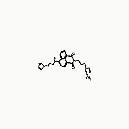 C[n+]1ccn(CCCN2C(=O)c3cccc4c(NCCCn5ccnc5)ccc(c34)C2=O)c1